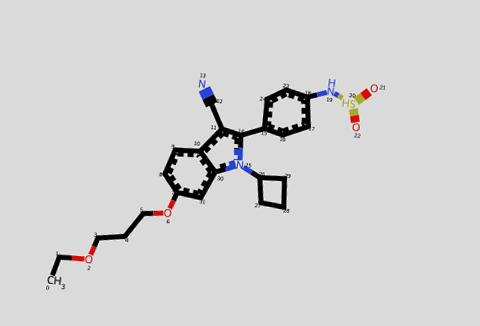 CCOCCCOc1ccc2c(C#N)c(-c3ccc(N[SH](=O)=O)cc3)n(C3CCC3)c2c1